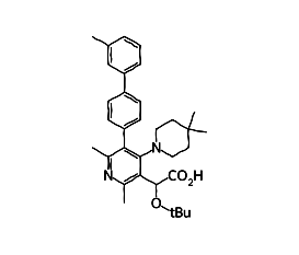 Cc1cccc(-c2ccc(-c3c(C)nc(C)c(C(OC(C)(C)C)C(=O)O)c3N3CCC(C)(C)CC3)cc2)c1